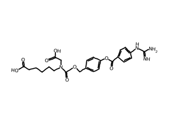 N=C(N)Nc1ccc(C(=O)Oc2ccc(COC(=O)N(CCCCCC(=O)O)CC(=O)O)cc2)cc1